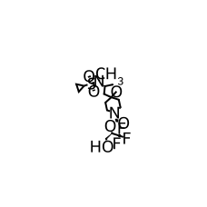 CN([C@@H]1COC2(CCN(C(=O)O[C@H](CO)C(F)(F)F)CC2)C1)S(=O)(=O)C1CC1